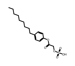 CCCCCCCCCc1ccc(OC(=O)COS(=O)(=O)O)cc1